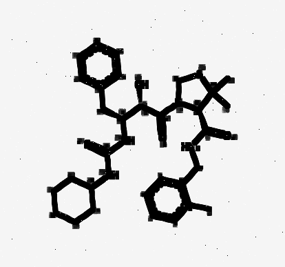 Cc1ccccc1CNC(=O)[C@H]1N(C(=O)[C@@H](O)[C@H](Cc2ccccc2)NC(=S)NC2CCCCC2)CSC1(C)C